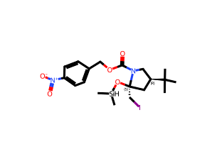 C[SiH](C)O[C@]1(CI)C[C@H](C(C)(C)C)CN1C(=O)OCc1ccc([N+](=O)[O-])cc1